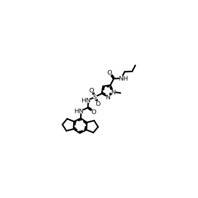 CCCNC(=O)c1cc(S(=O)(=O)NC(=O)Nc2c3c(cc4c2CCC4)CCC3)nn1C